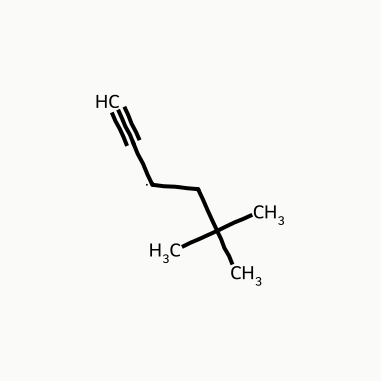 C#C[CH]CC(C)(C)C